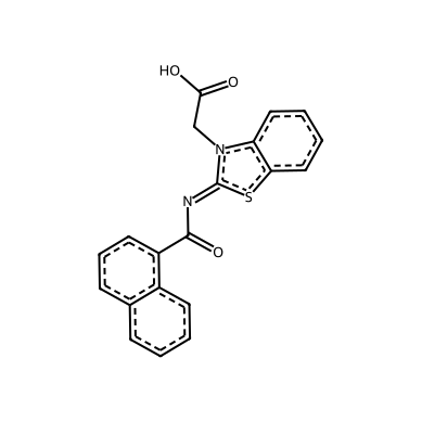 O=C(O)Cn1c(=NC(=O)c2cccc3ccccc23)sc2ccccc21